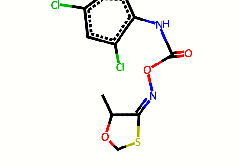 CC1OCSC1=NOC(=O)Nc1ccc(Cl)cc1Cl